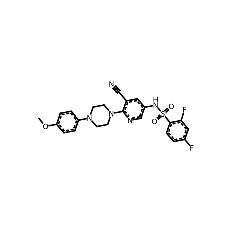 COc1ccc(N2CCN(c3ncc(NS(=O)(=O)c4ccc(F)cc4F)cc3C#N)CC2)cc1